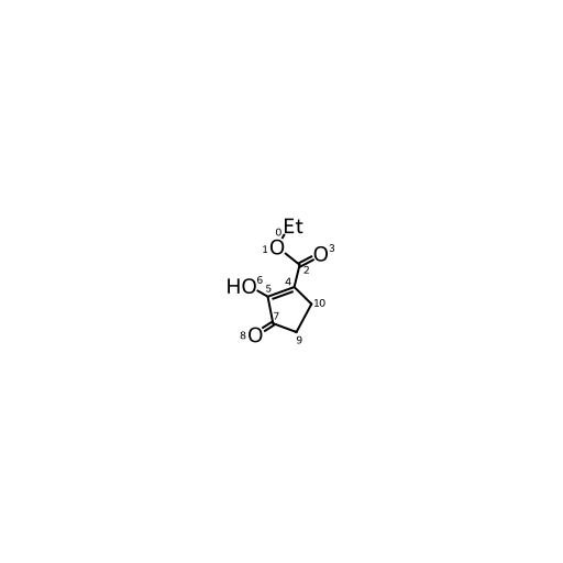 CCOC(=O)C1=C(O)C(=O)CC1